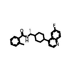 Cc1ccccc1C(=O)N[C@H](C)C1CCC(c2ccnc3ccc(F)cc23)CC1